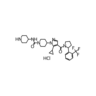 Cl.O=C(NC1CCNCC1)N1CCC(n2ncc(C(=O)N3CCCC3c3ccccc3C(F)(F)F)c2C2CC2)CC1